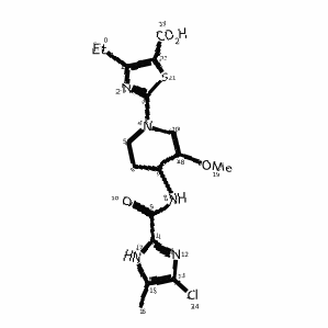 CCc1nc(N2CCC(NC(=O)c3nc(Cl)c(C)[nH]3)C(OC)C2)sc1C(=O)O